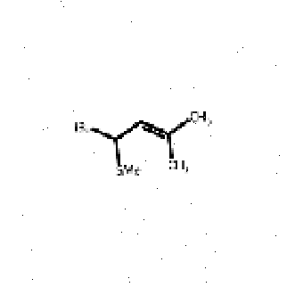 CCC(C)C(C=C(C)C)SC